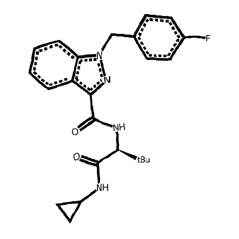 CC(C)(C)[C@H](NC(=O)c1nn(Cc2ccc(F)cc2)c2ccccc12)C(=O)NC1CC1